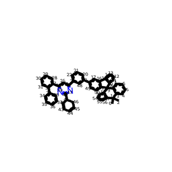 CC1(C)c2ccccc2C2(c3ccccc3-c3cc(-c4cccc(-c5cc(-c6ccccc6-c6ccccc6)nc(C6C=CC=CC6)n5)c4)ccc32)c2ccccc21